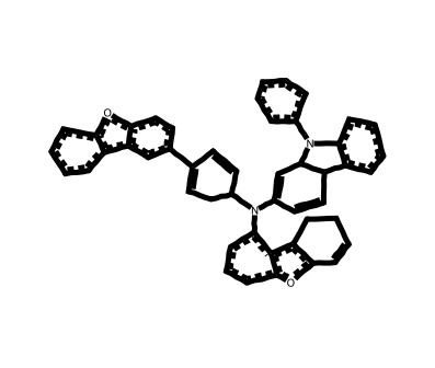 C1=Cc2oc3cccc(N(C4=CC5C(C=C4)c4ccccc4N5c4ccccc4)C4C=CC(c5ccc6oc7ccccc7c6c5)=CC4)c3c2CC1